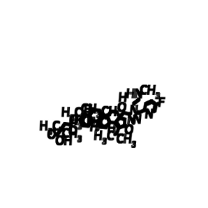 CNCCn1c(-c2ccc(F)cn2)nnc1[C@@H](O)[C@@]12CC[C@]3(C)[C@H](CC[C@@H]4[C@@]5(C)CC[C@H](OC(=O)CC(C)(C)C(=O)O)C(C)(C)[C@@H]5CC[C@]43C)C1=C(C(C)C)C(=O)C2